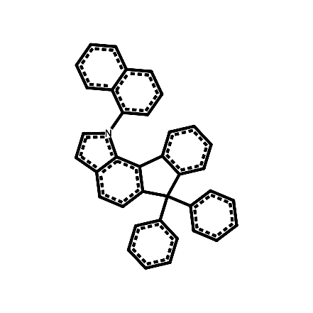 c1ccc(C2(c3ccccc3)c3ccccc3-c3c2ccc2ccn(-c4cccc5ccccc45)c32)cc1